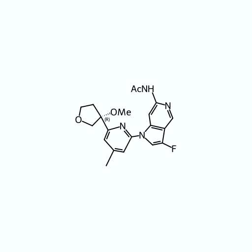 CO[C@@]1(c2cc(C)cc(-n3cc(F)c4cnc(NC(C)=O)cc43)n2)CCOC1